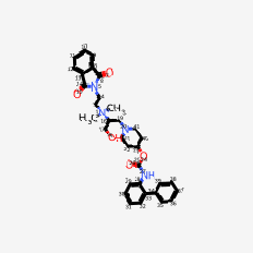 C[N+](C)(CCN1C(=O)c2ccccc2C1=O)C(CO)CN1CCC(OC(=O)Nc2ccccc2-c2ccccc2)CC1